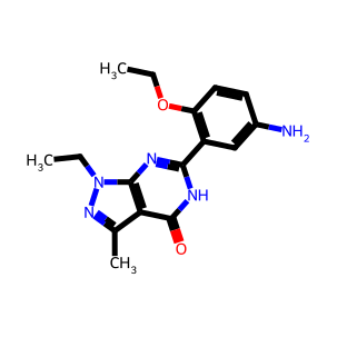 CCOc1ccc(N)cc1-c1nc2c(c(C)nn2CC)c(=O)[nH]1